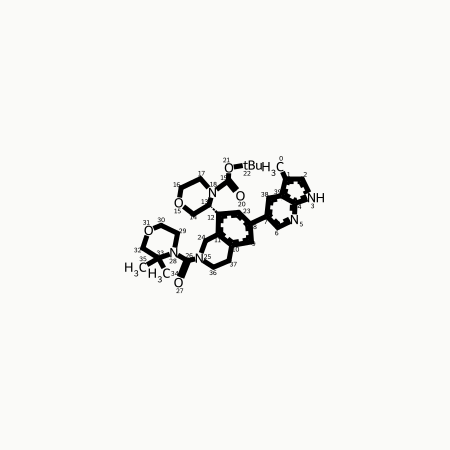 Cc1c[nH]c2ncc(-c3cc4c(c([C@@H]5COCCN5C(=O)OC(C)(C)C)c3)CN(C(=O)N3CCOCC3(C)C)CC4)cc12